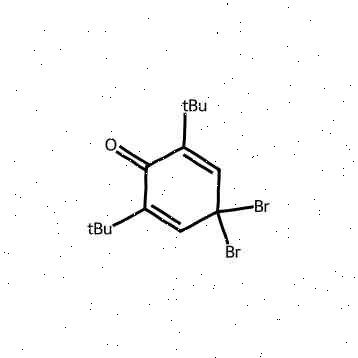 CC(C)(C)C1=CC(Br)(Br)C=C(C(C)(C)C)C1=O